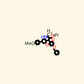 COc1ccc(C2CC(=O)C3=C(C2)NC(C)=C(C(=O)OC(C)C)C3c2ccc(OCc3ccccc3)cc2)cc1